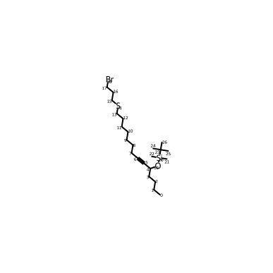 CCCCC(C#CCCCCCCCSCCCBr)O[Si](C)(C)C(C)(C)C